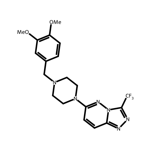 COc1ccc(CN2CCN(c3ccc4nnc(C(F)(F)F)n4n3)CC2)cc1OC